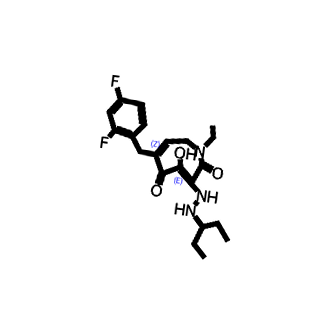 CCC(CC)NN/C1=C(/O)C(=O)/C(Cc2ccc(F)cc2F)=C\CN(CC)C1=O